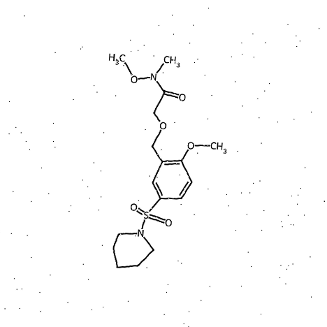 COc1ccc(S(=O)(=O)N2CCCCC2)cc1COCC(=O)N(C)OC